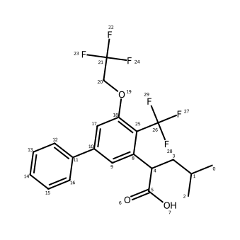 CC(C)CC(C(=O)O)c1cc(-c2ccccc2)cc(OCC(F)(F)F)c1C(F)(F)F